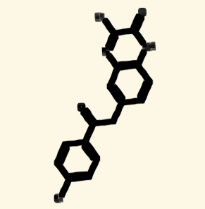 CCc1nc2cc(CC(=O)c3ccc(Cl)cc3)ccc2[nH]c1=O